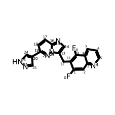 Fc1cc2ncccc2c(F)c1Cc1cnc2ccc(-c3cn[nH]c3)nn12